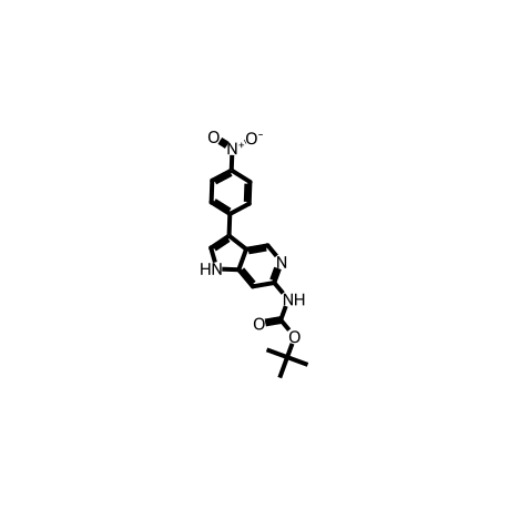 CC(C)(C)OC(=O)Nc1cc2[nH]cc(-c3ccc([N+](=O)[O-])cc3)c2cn1